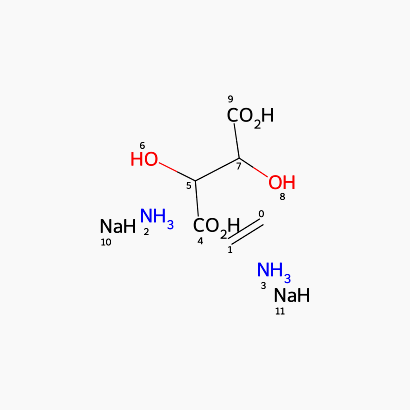 C=C.N.N.O=C(O)C(O)C(O)C(=O)O.[NaH].[NaH]